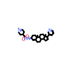 CN1CCC(C(=O)ONC2C=C3CCC4C(CCC5(C)C(c6cccnc6)=CCC45)C3(C)CC2)CC1